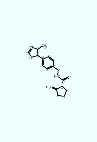 C=C1CCC[C@H]1C(=O)NCc1ccc(C2SC=NC2C)cc1